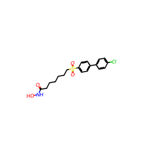 O=C(CCCCCCS(=O)(=O)c1ccc(-c2ccc(Cl)cc2)cc1)NO